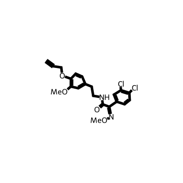 C#CCOc1ccc(CCNC(=O)/C(=N\OC)c2ccc(Cl)c(Cl)c2)cc1OC